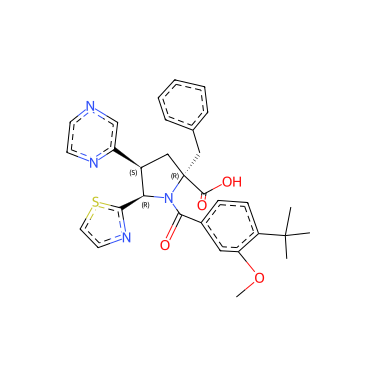 COc1cc(C(=O)N2[C@@H](c3nccs3)[C@@H](c3cnccn3)C[C@@]2(Cc2ccccc2)C(=O)O)ccc1C(C)(C)C